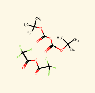 CC(C)(C)OC(=O)OC(=O)OC(C)(C)C.O=C(OC(=O)C(F)(F)F)C(F)(F)F